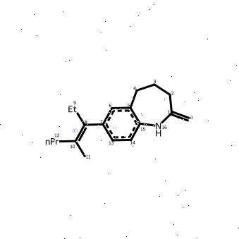 C=C1CCCc2cc(/C(CC)=C(\C)CCC)ccc2N1